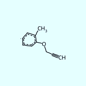 C#CCOc1cc[c]cc1C